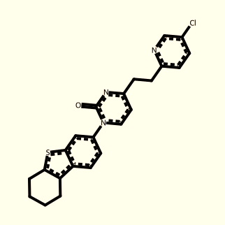 O=c1nc(CCc2ccc(Cl)cn2)ccn1-c1ccc2c3c(sc2c1)CCCC3